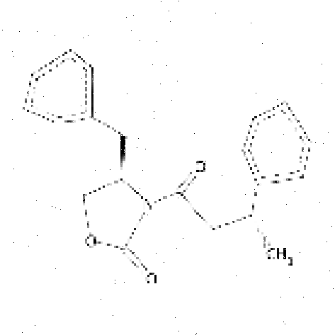 C[C@H](CC(=O)N1C(=O)OC[C@H]1Cc1ccccc1)c1ccccc1